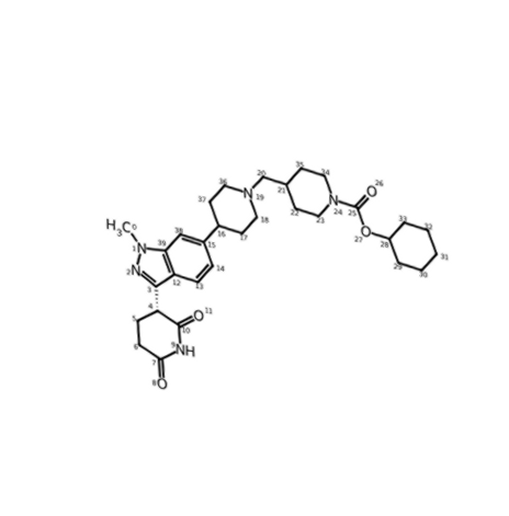 Cn1nc([C@H]2CCC(=O)NC2=O)c2ccc(C3CCN(CC4CCN(C(=O)OC5CCCCC5)CC4)CC3)cc21